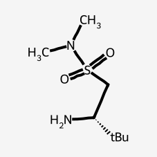 CN(C)S(=O)(=O)C[C@@H](N)C(C)(C)C